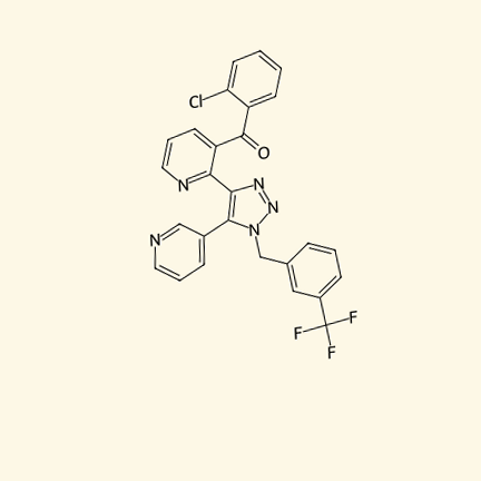 O=C(c1ccccc1Cl)c1cccnc1-c1nnn(Cc2cccc(C(F)(F)F)c2)c1-c1cccnc1